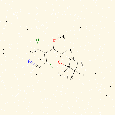 COC(c1c(Cl)cncc1Cl)C(C)O[Si](C)(C)C(C)(C)C